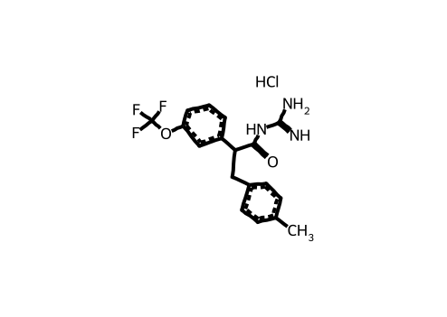 Cc1ccc(CC(C(=O)NC(=N)N)c2cccc(OC(F)(F)F)c2)cc1.Cl